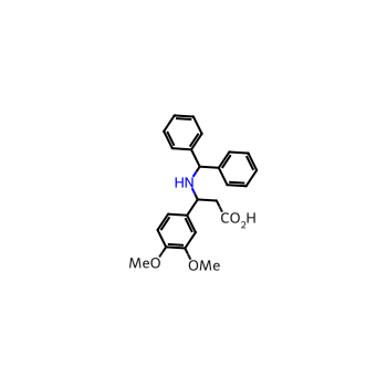 COc1ccc(C(CC(=O)O)NC(c2ccccc2)c2ccccc2)cc1OC